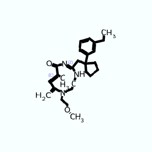 C=C1/C=C(\C)C(=O)/N=C(/CC2(c3cccc(CC)c3)CCCC2)NCCN1CCOC